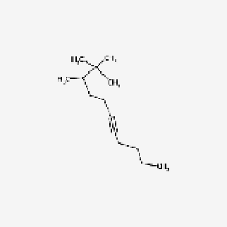 CCCCC#CCCC(C)C(C)(C)C